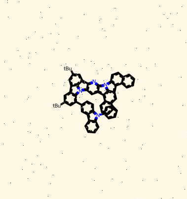 CC(C)(C)c1cc(-c2ccc3c(c2)c2ccccc2n3-c2ccccc2)c2c(c1)c1cc(C(C)(C)C)cc3c4nc5c(cc4n2c13)c1c2ccccc2cc2c3c4ccccc4ccc3n5c21